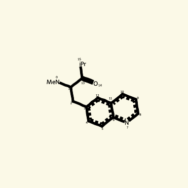 CNC(Cc1ccc2ncccc2c1)C(=O)C(C)C